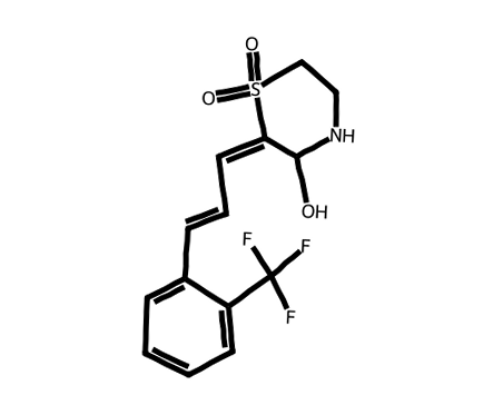 O=S1(=O)CCNC(O)/C1=C\C=C\c1ccccc1C(F)(F)F